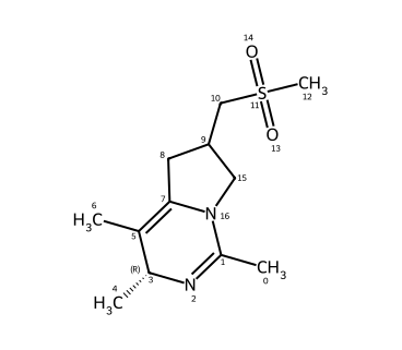 CC1=N[C@H](C)C(C)=C2CC(CS(C)(=O)=O)CN12